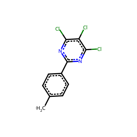 [CH2]c1ccc(-c2nc(Cl)c(Cl)c(Cl)n2)cc1